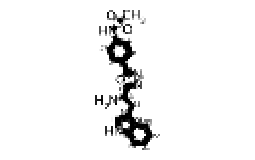 CS(=O)(=O)Nc1ccc(-c2nnc([C@@H](N)Cc3c[nH]c4ccccc34)o2)cc1